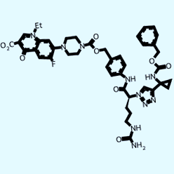 CCn1cc(C(=O)O)c(=O)c2cc(F)c(N3CCN(C(=O)OCc4ccc(NC(=O)[C@H](CCCNC(N)=O)n5cc(C6(NC(=O)OCc7ccccc7)CC6)nn5)cc4)CC3)cc21